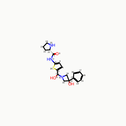 O=C(Nc1ccc(C(O)N2CC(O)(c3ccccc3)C2)s1)[C@@H]1CCCN1